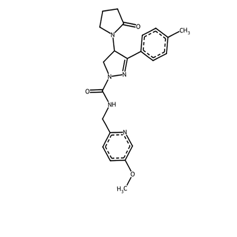 COc1ccc(CNC(=O)N2CC(N3CCCC3=O)C(c3ccc(C)cc3)=N2)nc1